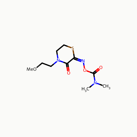 COCCN1CCSC(=NOC(=O)N(C)C)C1=O